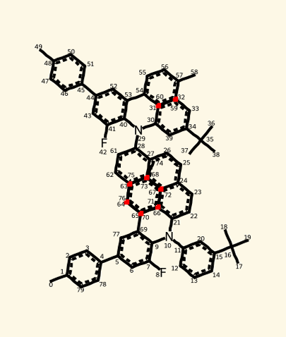 Cc1ccc(-c2cc(F)c(N(c3cccc(C(C)(C)C)c3)c3ccc4ccc5c(N(c6cccc(C(C)(C)C)c6)c6c(F)cc(-c7ccc(C)cc7)cc6-c6ccc(C)cc6)ccc6ccc3c4c65)c(-c3ccc(C)cc3)c2)cc1